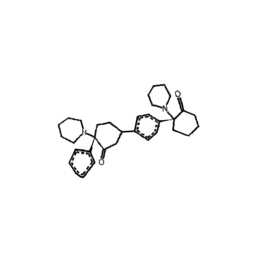 O=C1CCCC[C@]1(c1ccc(C2CC[C@@](c3ccccc3)(N3CCCCC3)C(=O)C2)cc1)N1CCCCC1